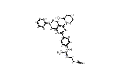 CC1COCCN1c1nc(-c2ccc(N/C(N)=N\CCC#N)cc2)nc2c1CCN(c1ncccn1)C2